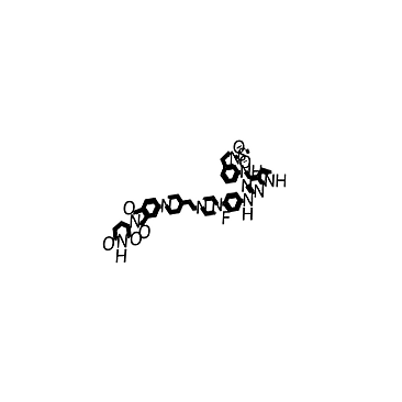 CS(=O)(=O)N1CCc2cccc(Nc3nc(Nc4ccc(N5CCN(CCC6CCN(c7ccc8c(c7)C(=O)N(C7CCC(=O)NC7=O)C8=O)CC6)CC5)c(F)c4)nc4[nH]ccc34)c21